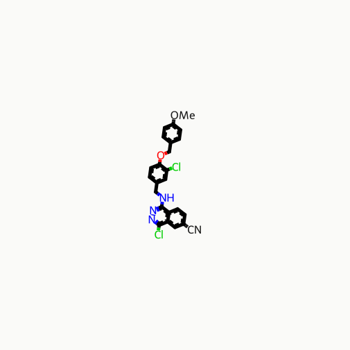 COc1ccc(COc2ccc(CNc3nnc(Cl)c4cc(C#N)ccc34)cc2Cl)cc1